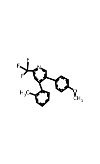 COc1ccc(-c2cnc(C(F)(F)F)cc2-c2ccccc2C)cc1